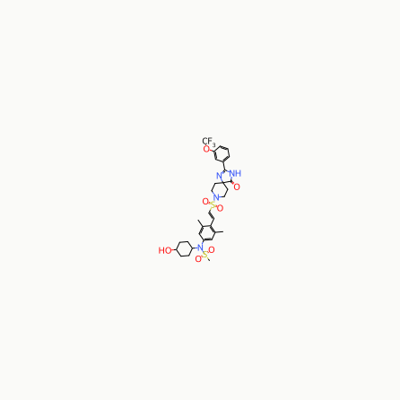 Cc1cc(N(C2CCC(O)CC2)S(C)(=O)=O)cc(C)c1C=CS(=O)(=O)N1CCC2(CC1)N=C(c1cccc(OC(F)(F)F)c1)NC2=O